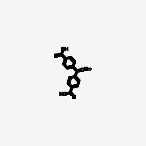 O=C(O)c1ccc(S(=O)c2ccc(C(=O)O)cc2)cc1.[Mn]